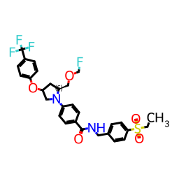 CCS(=O)(=O)c1ccc(CNC(=O)c2ccc(N3CC(Oc4ccc(C(F)(F)F)cc4)C[C@H]3COCF)cc2)cc1